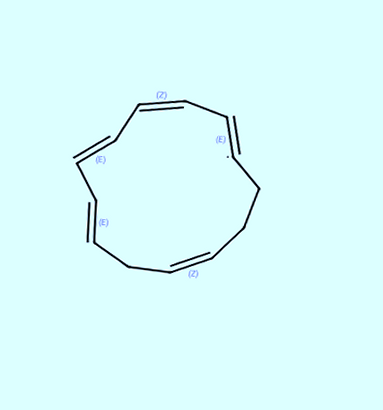 [C]1=C/C=C\C=C\C=C\C/C=C\CC/1